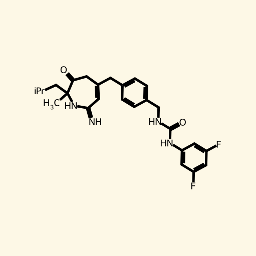 CC(C)CC1(C)NC(=N)C=C(Cc2ccc(CNC(=O)Nc3cc(F)cc(F)c3)cc2)CC1=O